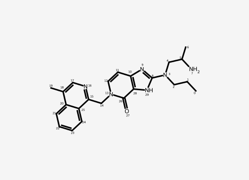 CCCN(CC(C)N)c1nc2ccn(Cc3ncc(C)c4ccccc34)c(=O)c2[nH]1